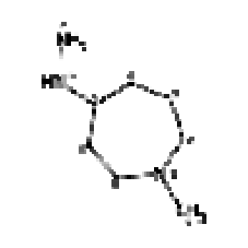 CN1CCCC(NN)CC1